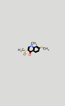 CSc1ccc2c(=O)c([S+](C)[O-])cn(C)c2c1